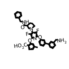 Cc1ccc(C(=O)O)c(Oc2nc(Oc3cccc(-c4cccc(CN)c4)c3)c(F)c(N3CCCC(C(=O)NCc4ccccc4)C3)c2F)c1